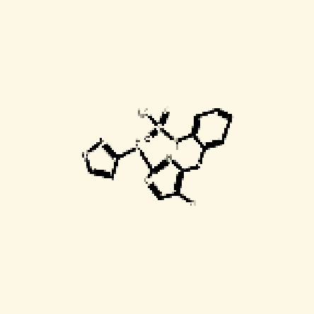 CS(=O)(=O)Nc1ccccc1Nc1nc(Nc2ccon2)ncc1Cl